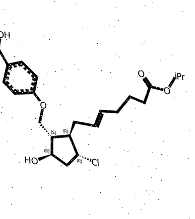 CC(C)OC(=O)CCCC=CC[C@@H]1[C@@H](COc2ccc(CO)cc2)[C@H](O)C[C@H]1Cl